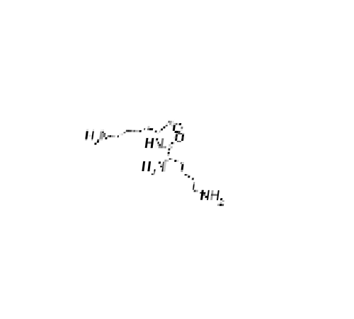 NCCCC[C@@H](C=O)NC(=O)[C@@H](N)CCCCN